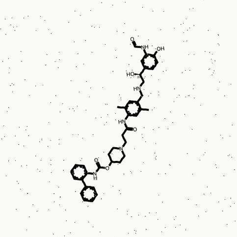 Cc1cc(NC(=O)CCN2CCC(OC(=O)Nc3ccccc3-c3ccccc3)CC2)c(C)cc1CNC[C@@H](O)c1ccc(O)c(NC=O)c1